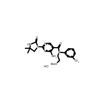 COCCN(C(=O)c1cnc(N2CC(C)(C)NC2=O)nc1N)c1cccc(C(F)(F)F)c1.Cl